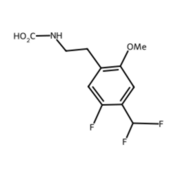 COc1cc(C(F)F)c(F)cc1CCNC(=O)O